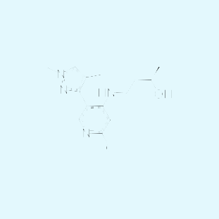 Cc1cn(C)nc1-c1cnc(Cl)cc1NCC[C@@H](C)O